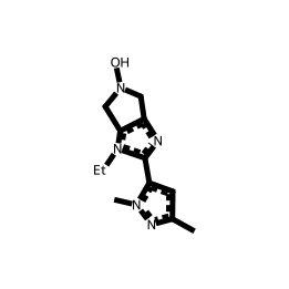 CCn1c(-c2cc(C)nn2C)nc2c1CN(O)C2